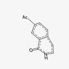 CC(=O)c1ccc2cc[nH]c(=O)c2c1